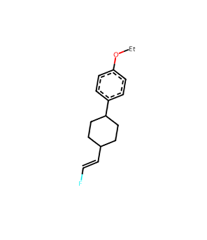 CCOc1ccc(C2CCC(/C=C/F)CC2)cc1